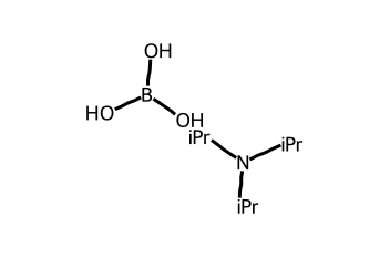 CC(C)N(C(C)C)C(C)C.OB(O)O